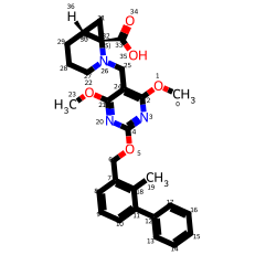 COc1nc(OCc2cccc(-c3ccccc3)c2C)nc(OC)c1CN1CCC[C@@H]2C[C@@]21C(=O)O